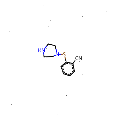 N#Cc1ccccc1SN1CCNCC1